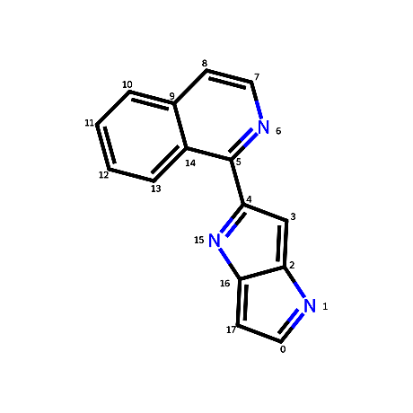 C1=NC2=CC(c3nccc4ccccc34)=NC2=C1